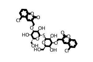 O=c1oc2cccc(Cl)c2cc1CO[C@H]1[C@@H](O)[C@@H](CO)O[C@@H](S[C@@H]2O[C@H](CO)[C@H](O)[C@H](OCc3cc4c(Cl)cccc4oc3=O)[C@H]2O)[C@@H]1O